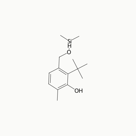 Cc1ccc(CO[SiH](C)C)c(C(C)(C)C)c1O